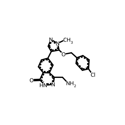 Cn1ncc(-c2ccc3c(=O)[nH]nc(CN)c3c2)c1OCc1ccc(Cl)cc1